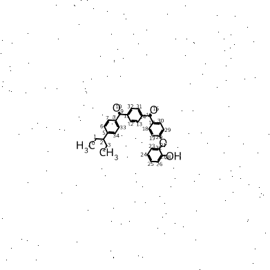 CCC(CC)c1ccc(C(=O)c2ccc(C(=O)c3ccc(Oc4ccccc4O)cc3)cc2)cc1